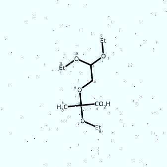 CCOC(COC(C)(OCC)C(=O)O)OCC